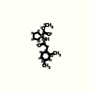 COC(=O)S1(NC(=O)Cc2ccc(C)cc2C)CCCC1